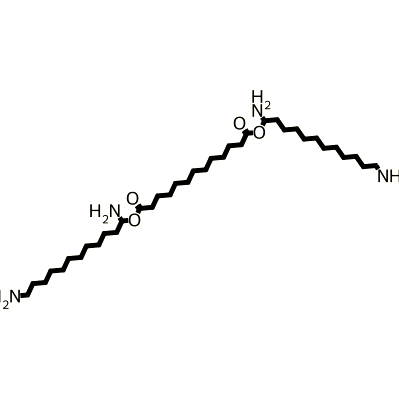 NCCCCCCCCCCCC(N)OC(=O)CCCCCCCCCCCC(=O)OC(N)CCCCCCCCCCCN